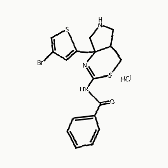 Cl.O=C(NC1=NC2(c3cc(Br)cs3)CNCC2CS1)c1ccccc1